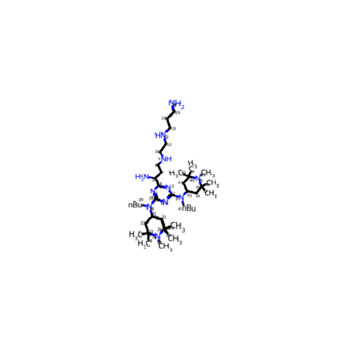 CCCCN(c1nc(C(N)CCNCCNCCCN)nc(N(CCCC)C2CC(C)(C)N(C)C(C)(C)C2)n1)C1CC(C)(C)N(C)C(C)(C)C1